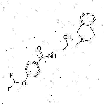 O=C(NCCC(O)CN1CCc2ccccc2C1)c1ccc(OC(F)F)cc1